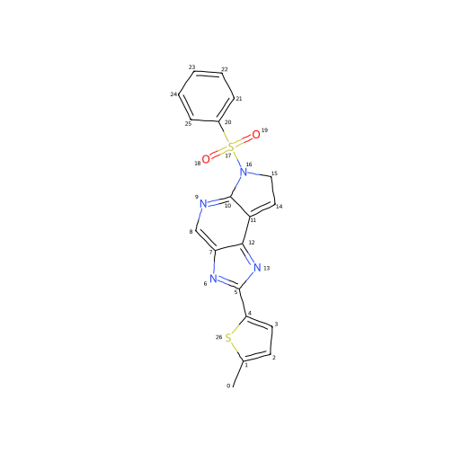 Cc1ccc(C2=Nc3cnc4c(c3=N2)=CCN4S(=O)(=O)c2ccccc2)s1